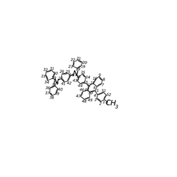 Cc1ccc(-c2c3ccccc3c(-c3ccc(N(c4ccccc4)c4ccc(N(c5ccccc5)c5ccccc5)cc4)cc3)c3ccccc23)cc1